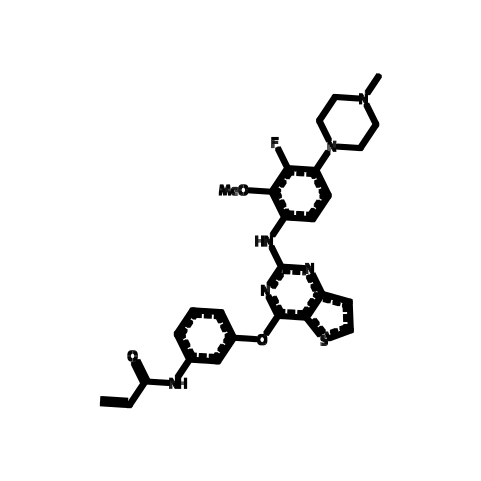 C=CC(=O)Nc1cccc(Oc2nc(Nc3ccc(N4CCN(C)CC4)c(F)c3OC)nc3ccsc23)c1